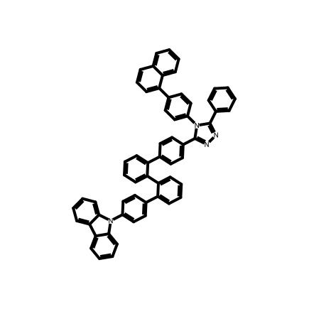 c1ccc(-c2nnc(-c3ccc(-c4ccccc4-c4ccccc4-c4ccc(-n5c6ccccc6c6ccccc65)cc4)cc3)n2-c2ccc(-c3cccc4ccccc34)cc2)cc1